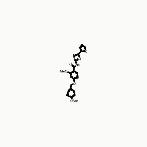 COc1ccc(COc2ccc(C(=O)Nc3nnc(-c4cccs4)o3)c(OC)c2)cc1